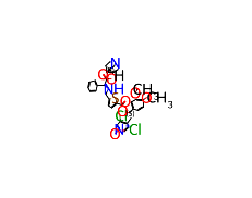 COc1ccc([C@H](Cc2c(Cl)c[n+]([O-])cc2Cl)OC(=O)c2ccc(CNC(C(=O)O[C@H]3CN4CCC3CC4)c3ccccc3)s2)cc1OC